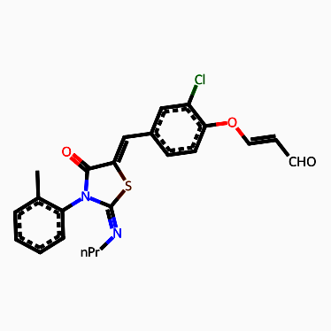 CCC/N=C1/S/C(=C\c2ccc(O/C=C/C=O)c(Cl)c2)C(=O)N1c1ccccc1C